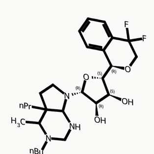 CCCCN1CNC2N([C@@H]3O[C@H]([C@@H]4OCC(F)(F)c5ccccc54)[C@@H](O)[C@H]3O)CCC2(CCC)C1C